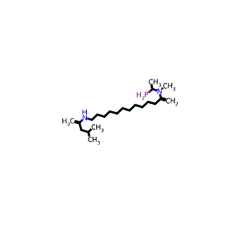 C=C(CC(C)C)NCCCCCCCCCCCC(=C)N(C)C(C)P